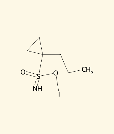 CCCC1(S(=N)(=O)OI)CC1